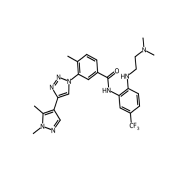 Cc1ccc(C(=O)Nc2cc(C(F)(F)F)ccc2NCCN(C)C)cc1-n1cc(-c2cnn(C)c2C)nn1